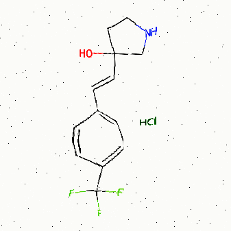 Cl.OC1(C=Cc2ccc(C(F)(F)F)cc2)CCNC1